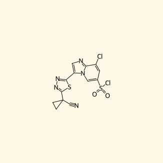 N#CC1(c2nnc(-c3cnc4c(Cl)cc(S(=O)(=O)Cl)cn34)s2)CC1